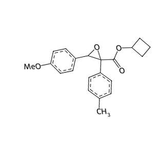 COc1ccc(C2OC2(C(=O)OC2CCC2)c2ccc(C)cc2)cc1